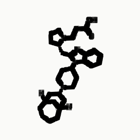 O=C(O)CCN1CCC[C@H]1Cc1nc2ccccc2n1C1CCN([C@@H]2C[C@@H]3CCCC[C@@H](C3)C2)CC1